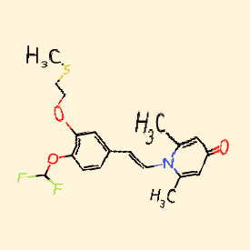 CSCCOc1cc(C=Cn2c(C)cc(=O)cc2C)ccc1OC(F)F